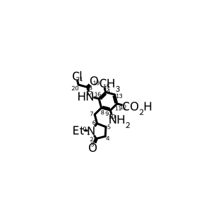 CCN1C(=O)CCC1Cc1c(N)c(C(=O)O)cc(C)c1NC(=O)CCl